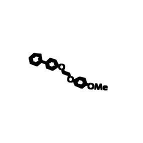 COc1ccc(OC=COc2ccc(-c3ccccc3)cc2)cc1